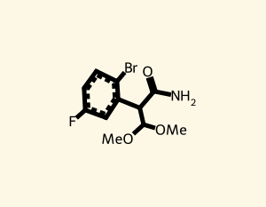 COC(OC)C(C(N)=O)c1cc(F)ccc1Br